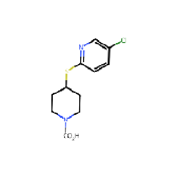 O=C(O)N1CCC(Sc2ccc(Cl)cn2)CC1